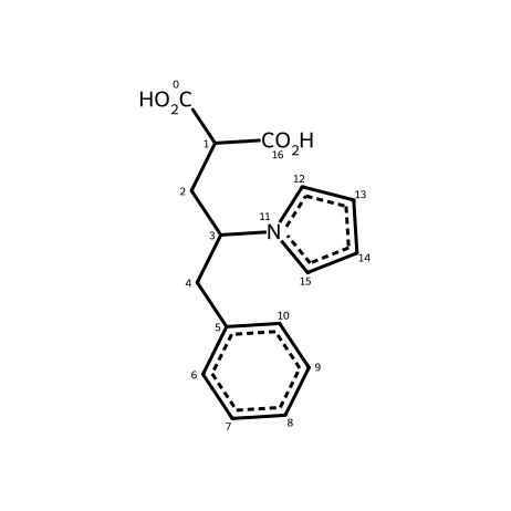 O=C(O)C(CC(Cc1ccccc1)n1cccc1)C(=O)O